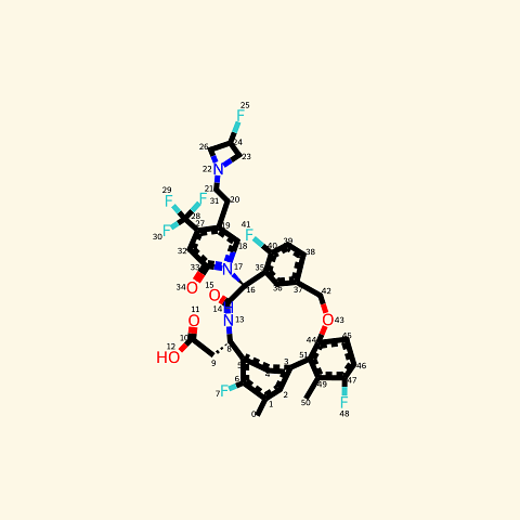 Cc1cc2cc(c1F)[C@H](CC(=O)O)NC(=O)[C@@H](n1cc(CCN3CC(F)C3)c(C(F)(F)F)cc1=O)c1cc(ccc1F)COc1ccc(F)c(C)c1-2